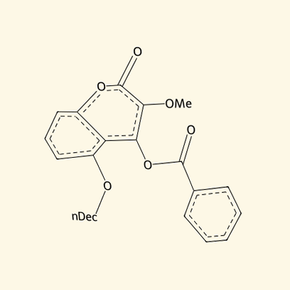 CCCCCCCCCCOc1cccc2oc(=O)c(OC)c(OC(=O)c3ccccc3)c12